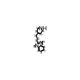 CN1c2ccccc2N(C)C1CCCC1CCNCC1